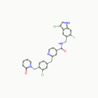 O=C(NCc1cc2c(Cl)c[nH]c2cc1F)c1ccnc(Cc2ccc(Cn3ccccc3=O)c(Cl)c2)c1